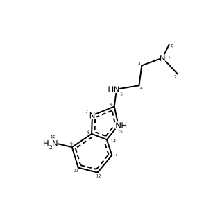 CN(C)CCNc1nc2c(N)cccc2[nH]1